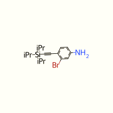 CC(C)[Si](C#Cc1ccc(N)cc1Br)(C(C)C)C(C)C